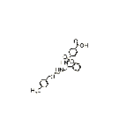 CC1=CCC(COCCNC[C@H](NS(=O)(=O)C2C=CC(C(=O)O)=CC2)c2ccccc2)=CC1